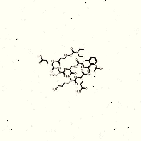 CCN(CC)C(=O)ONCCC(=O)N[C@@H](CCC(=O)O)C(=O)N[C@@H](CS)C(=O)NC(C)C(=O)N[C@@H](CCCCN)C(=O)N[C@@H](CCC(N)=O)C(=O)N[C@@H](CC(=O)O)C(=O)N[C@@H](Cc1ccccc1)C(=O)O